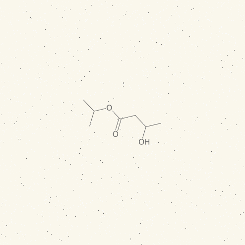 CC(O)CC(=O)OC(C)C